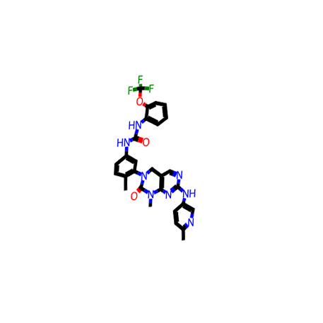 Cc1ccc(Nc2ncc3c(n2)N(C)C(=O)N(c2cc(NC(=O)Nc4ccccc4OC(F)(F)F)ccc2C)C3)cn1